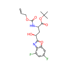 C=CCOC(=O)NC(C[C@H](O)c1nc2c(F)cc(F)cc2o1)C(=O)OC(C)(C)C